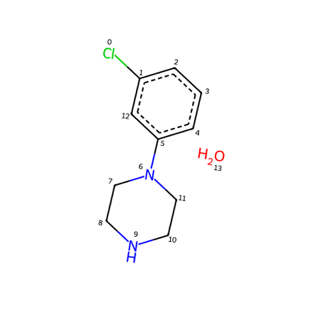 Clc1cccc(N2CCNCC2)c1.O